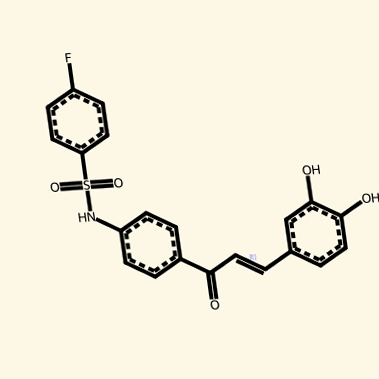 O=C(/C=C/c1ccc(O)c(O)c1)c1ccc(NS(=O)(=O)c2ccc(F)cc2)cc1